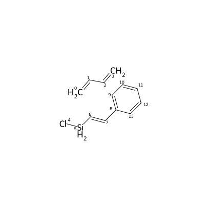 C=CC=C.Cl[SiH2]C=Cc1ccccc1